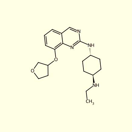 CCN[C@H]1CC[C@H](Nc2ncc3cccc(OC4CCOC4)c3n2)CC1